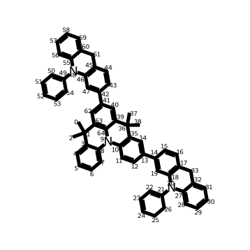 CC1(C)c2ccccc2N2c3ccc(-c4ccc5c(c4)N(C4=CC=CCC4)c4ccccc4C5)cc3C(C)(C)c3cc(-c4ccc5c(c4)N(c4ccccc4)c4ccccc4C5)cc1c32